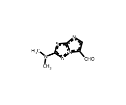 CN(C)c1nn2c(C=O)cnc2s1